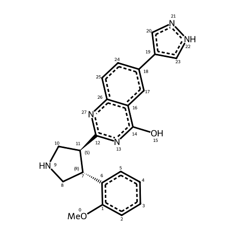 COc1ccccc1[C@@H]1CNC[C@H]1c1nc(O)c2cc(-c3cn[nH]c3)ccc2n1